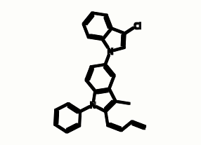 C=C/C=C\c1c(C)c2cc(-n3cc(Cl)c4ccccc43)ccc2n1-c1ccccc1